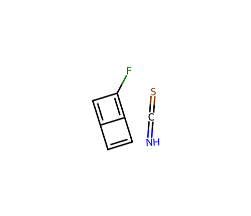 Fc1cc2ccc1-2.N=C=S